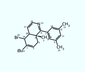 CCC(C)C1=CC[C@@]2(C)C(c3cc(C)cc(C)c3)=NC=CC2C1Br